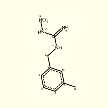 Cc1cccc(CNC(=N)N[N+](=O)[O-])c1